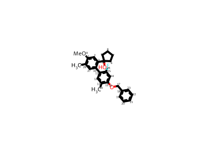 COc1cc(C2(O)CCCC2)c(-c2cc(C)c(OCc3ccccc3)cc2F)cc1C